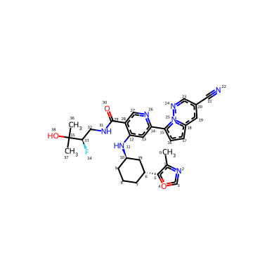 Cc1ncoc1[C@@H]1CCC[C@@H](Nc2cc(-c3ccc4cc(C#N)cnn34)ncc2C(=O)NC[C@@H](F)C(C)(C)O)C1